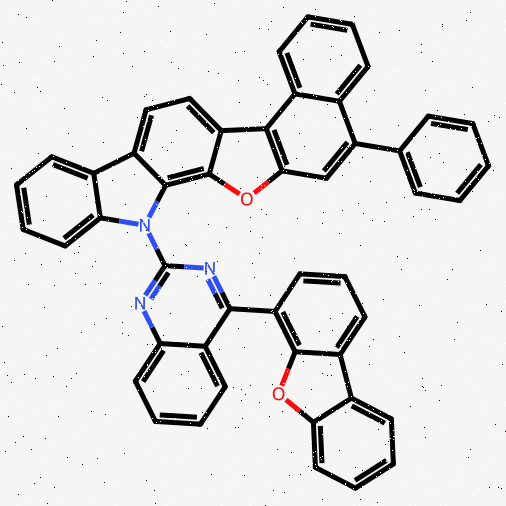 c1ccc(-c2cc3oc4c(ccc5c6ccccc6n(-c6nc(-c7cccc8c7oc7ccccc78)c7ccccc7n6)c54)c3c3ccccc23)cc1